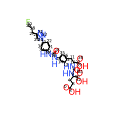 O=C(O)CCC(NC(=O)NC(Cc1ccc(NC(=O)Nc2ccc(-n3cc(CCCF)nn3)cc2)cc1)C(=O)O)C(=O)O